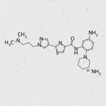 CN(C)CCCn1cc(-c2nc(C(=O)Nc3cc(N)ccc3N3CCC[C@@H](N)C3)cs2)cn1